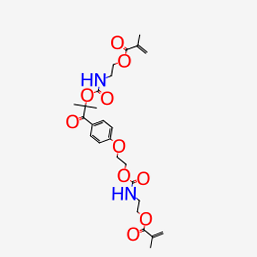 C=C(C)C(=O)OCCNC(=O)OCCOc1ccc(C(=O)C(C)(C)OC(=O)NCCOC(=O)C(=C)C)cc1